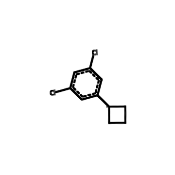 Clc1cc(Cl)cc([C]2CCC2)c1